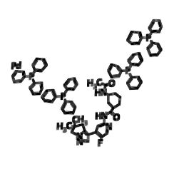 CC(=O)NC1CCCC(C(=O)Nc2cc(-c3cnn4c3CC(C)(C)C4)c(F)cn2)C1.[Pd].c1ccc(P(c2ccccc2)c2ccccc2)cc1.c1ccc(P(c2ccccc2)c2ccccc2)cc1.c1ccc(P(c2ccccc2)c2ccccc2)cc1.c1ccc(P(c2ccccc2)c2ccccc2)cc1